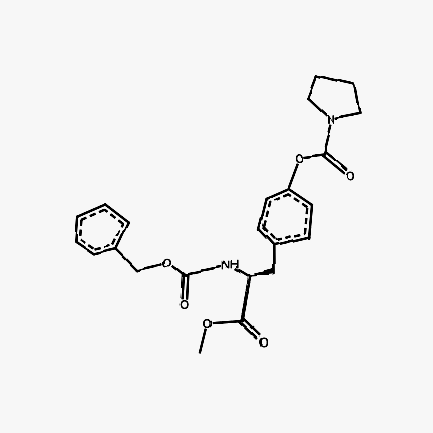 COC(=O)[C@H](Cc1ccc(OC(=O)N2CCCC2)cc1)NC(=O)OCc1ccccc1